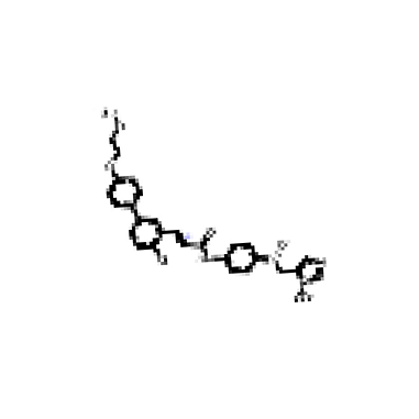 CCCCOCCOc1ccc(-c2ccc(Cl)c(/C=C/C(=O)Nc3ccc([S@+]([O-])Cc4cncn4CCC)cc3)c2)cc1